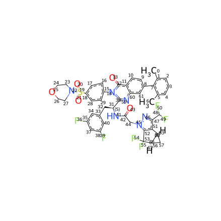 Cc1cccc(C)c1-c1ccc2c(=O)n(-c3ccc(S(=O)(=O)N4CCOCC4)cc3)c([C@H](Cc3cc(F)cc(F)c3)NC(=O)Cn3nc(C(F)F)c4c3C(F)(F)[C@@H]3C[C@H]43)nc2c1